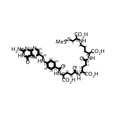 CSSCC(NCCCC(NC(=O)CCC(NC(=O)CCC(NC(=O)c1ccc(NCc2cnc3nc(N)[nH]c(=O)c3n2)cc1)C(=O)O)C(=O)O)C(=O)O)C(=O)O